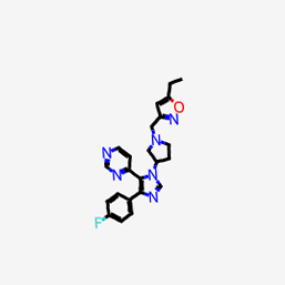 CCc1cc(CN2CCC(n3cnc(-c4ccc(F)cc4)c3-c3ccncn3)C2)no1